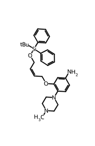 CN1CCN(c2ccc(N)cc2OC/C=C\CO[Si](c2ccccc2)(c2ccccc2)C(C)(C)C)CC1